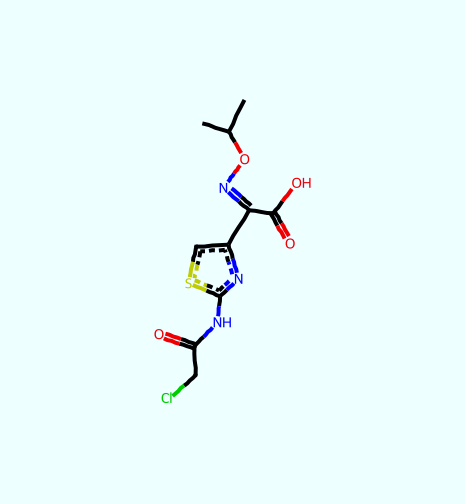 CC(C)ON=C(C(=O)O)c1csc(NC(=O)CCl)n1